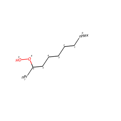 CCCCCCCCCCCC(CCC)OO